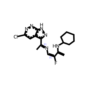 C=C(NC1CCCCC1)/C(F)=C\N=C(/C)c1n[nH]c2nnc(Cl)cc12